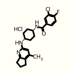 Cc1cc(N[C@H]2CC[C@@H](NC(=O)c3ccc(F)c(Cl)c3)CC2)nc2c1CCC2.Cl